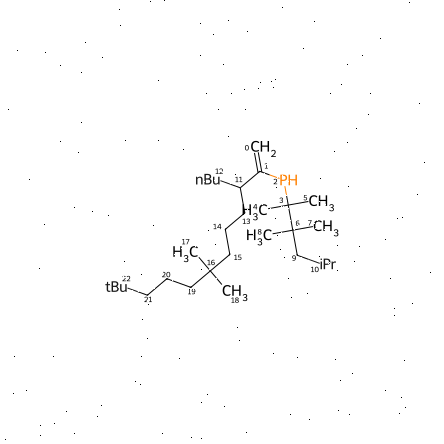 C=C(PC(C)(C)C(C)(C)CC(C)C)C(CCCC)CCCC(C)(C)CCCC(C)(C)C